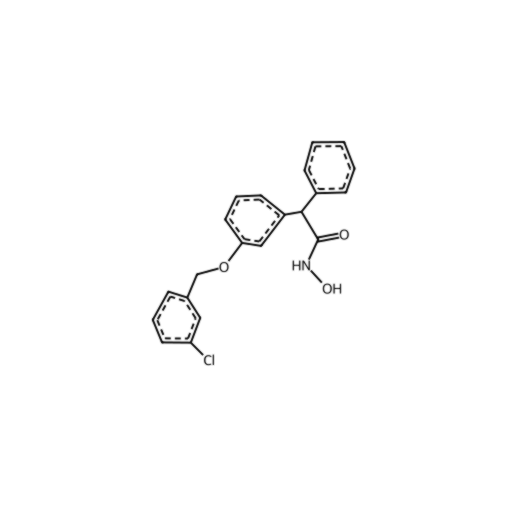 O=C(NO)C(c1ccccc1)c1cccc(OCc2cccc(Cl)c2)c1